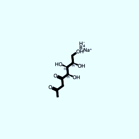 CC(=O)CC(=O)[C@H](O)[C@@H](O)[C@H](O)CO.[BH4-].[Na+]